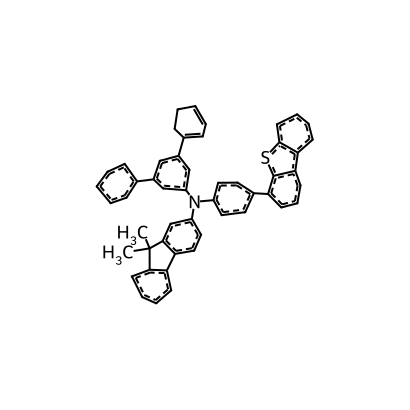 CC1(C)c2ccccc2-c2ccc(N(c3ccc(-c4cccc5c4sc4ccccc45)cc3)c3cc(C4=CC=CCC4)cc(-c4ccccc4)c3)cc21